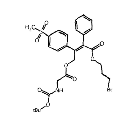 CC(C)(C)OC(=O)NCC(=O)OC/C(=C(\C(=O)OCCCBr)c1ccccc1)c1ccc(S(C)(=O)=O)cc1